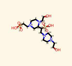 O=S(=O)(O)CCN1CCN(CCO)C(C(CN2CCN(CCO)CC2)S(=O)(=O)O)C1